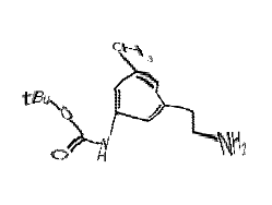 Cc1cc(CCN)cc(NC(=O)OC(C)(C)C)c1